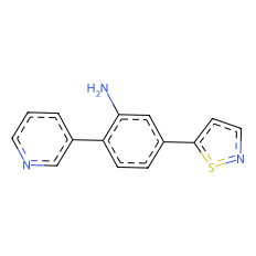 Nc1cc(-c2ccns2)ccc1-c1cccnc1